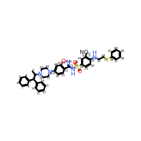 CC(C(c1ccccc1)c1ccccc1)N1CCN(c2ccc3c(NS(=O)(=O)c4ccc(NCCSc5ccccc5)c([N+](=O)[O-])c4)noc3c2)CC1